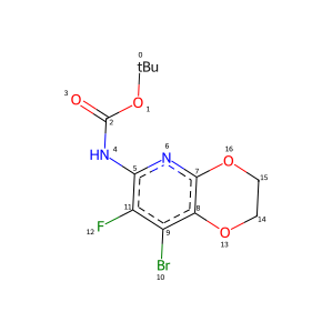 CC(C)(C)OC(=O)Nc1nc2c(c(Br)c1F)OCCO2